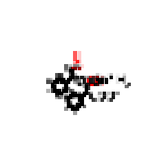 O=C([O-])C(CO)c1ccccc1.O=C([O-])C(CO)c1ccccc1.[SnH2+2]